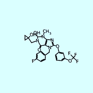 CN1c2nc(Oc3cccc(OC(F)(F)F)c3)n(Cc3ccc(F)cc3)c2C(=O)N(CC2(O)CC2)C1O